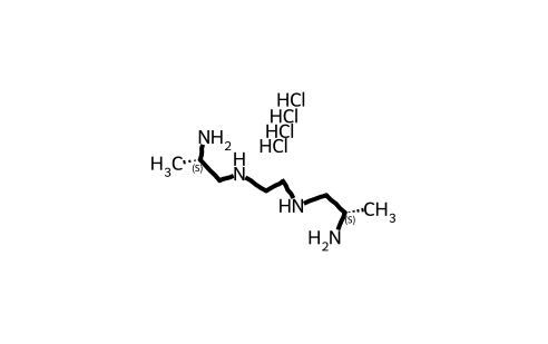 C[C@H](N)CNCCNC[C@H](C)N.Cl.Cl.Cl.Cl